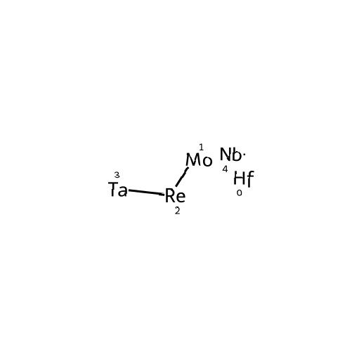 [Hf].[Mo][Re][Ta].[Nb]